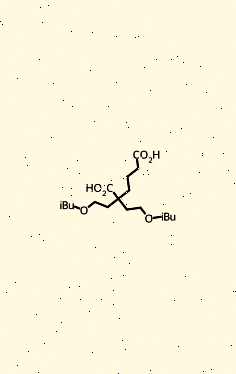 CCC(C)OCCC(CCCC(=O)O)(CCOC(C)CC)C(=O)O